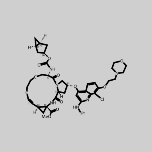 COC(=O)[C@@]12C[C@H]1/C=C\CCCCC[C@H](NC(=O)O[C@@H]1C[C@@H]3C[C@@H]3C1)C(=O)N1C[C@H](Oc3cc(NC(C)C)nc4c(Cl)c(OCCN5CCOCC5)ccc34)C[C@H]1C(=O)N2